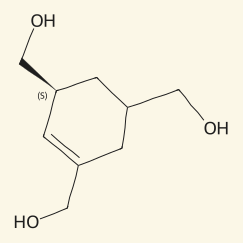 OCC1=C[C@@H](CO)CC(CO)C1